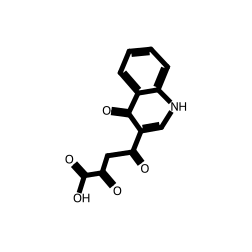 O=C(O)C(=O)CC(=O)c1c[nH]c2ccccc2c1=O